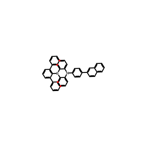 c1ccc(-c2cccc(-c3ccccc3)c2B2c3ccccc3N(c3ccc(-c4ccc5ccccc5c4)cc3)c3ccccc32)cc1